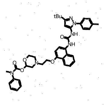 Cc1ccc(-n2nc(C(C)(C)C)cc2NC(=O)Nc2ccc(OCCN3CCOC(OC(=O)N(C)c4ccccc4)C3)c3ccccc23)cc1